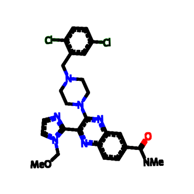 CNC(=O)c1ccc2nc(-c3nccn3COC)c(N3CCN(Cc4cc(Cl)ccc4Cl)CC3)nc2c1